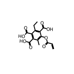 C=CC(=O)Oc1c(C)c(C(=O)O)c(C(=O)O)c(CC)c1C(=O)O